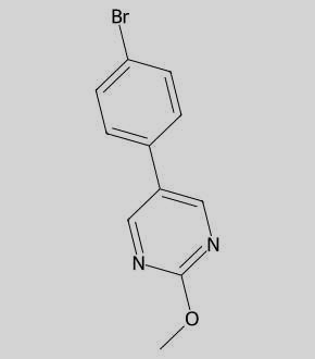 COc1ncc(-c2ccc(Br)cc2)cn1